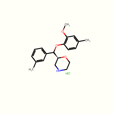 COc1cc(C)ccc1OC(c1cccc(C)c1)[C@@H]1CNCCO1.Cl